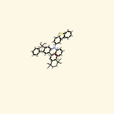 CC1(C)CCC(C)(C)c2cc(-c3cc4c(cc3N(c3ccccc3)c3ccc5sc6ccccc6c5c3)C(C)(C)c3ccccc3-4)ccc21